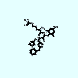 Cc1cc(O)cc(C)c1C[C@H](NC(=O)[C@H](N)CCCNC(=N)N)C(=O)N[C@@H](Cc1c[nH]cn1)c1nnc(Cc2ccccc2)o1